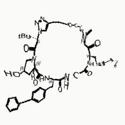 CN1CCOCc2cn(nn2)[C@@H](C(C)(C)C)C(=O)N2C[C@H](O)C[C@H]2C(=O)N[C@H](Cc2ccc(-c3ccccc3)cc2)C(=O)NCC(=O)N[C@H](CN)C1=O